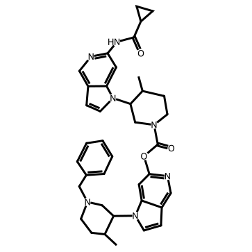 CC1CCN(Cc2ccccc2)CC1n1ccc2cnc(OC(=O)N3CCC(C)C(n4ccc5cnc(NC(=O)C6CC6)cc54)C3)cc21